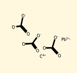 O=C([O-])[O-].O=C([O-])[O-].O=C([O-])[O-].[C+4].[Pb+2]